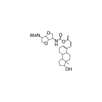 C=C(/C=C\C1=CCCC2C1CCC1(C)C(O)CCC21)OC(=O)NC1COC2C(NC)COC12